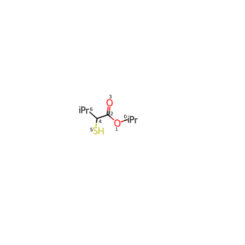 CC(C)OC(=O)C(S)C(C)C